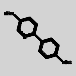 CCCCCCCCc1ccc(-c2ccc(CCCCCC)cn2)cc1